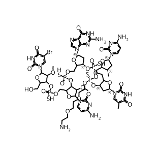 COC1C(OP(=O)(S)OCC2O[C@@H](n3cnc4c(=O)[nH]c(N)nc43)C[C@H]2OP(=O)(S)OCC2O[C@@H](n3cc(C)c(=O)[nH]c3=O)C[C@H]2OP(=S)(OCCOCCOCCN)OCC2O[C@@H](n3ccc(N)nc3=O)C[C@H]2C)C(COP(=O)(S)OC2C(CO)OC(n3cc(Br)c(=O)[nH]c3=O)C2OC)OC1n1ccc(N)nc1=O